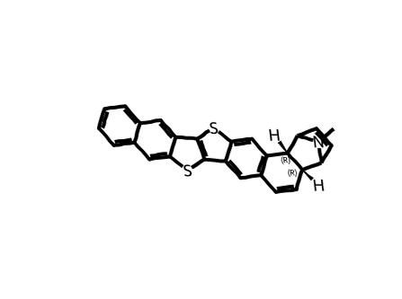 CN1C2C=CC1[C@@H]1C=Cc3cc4c(cc3[C@H]21)sc1c2cc3ccccc3cc2sc41